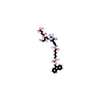 [2H]CC1OC(n2cc(C#CCNC(=O)CCCCCNC(=O)OCC3c4ccccc4-c4ccccc43)c(=O)[nH]c2=O)CC1OC(=O)CCC(=O)O